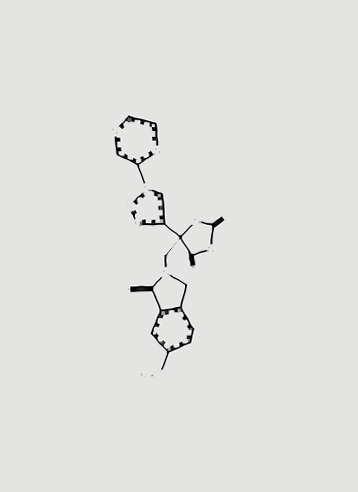 COc1ccc2c(c1)C(=O)N(C[C@@]1(c3cn(-c4cnccn4)nn3)NC(=O)NC1=O)C2